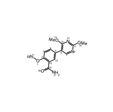 CCCOc1ccc(-c2cnc(OC)nc2OC)cc1C(N)=O